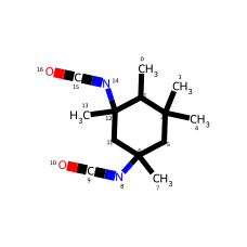 CC1C(C)(C)CC(C)(N=C=O)CC1(C)N=C=O